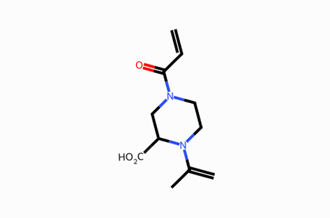 C=CC(=O)N1CCN(C(=C)C)C(C(=O)O)C1